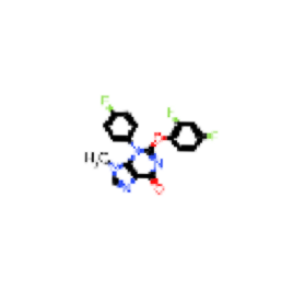 Cn1cnc2c(=O)nc(Oc3ccc(F)cc3F)n(-c3ccc(F)cc3)c21